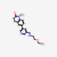 CCOCCNCc1cncc(-c2ccc3c(c2)CCC(=O)N3C)c1